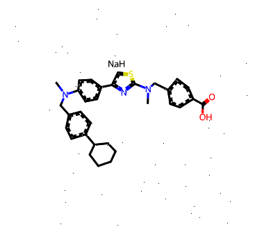 CN(Cc1ccc(C2CCCCC2)cc1)c1ccc(-c2csc(N(C)Cc3ccc(C(=O)O)cc3)n2)cc1.[NaH]